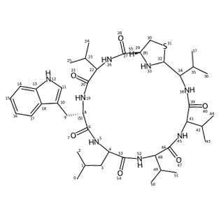 CC(C)CC1NC(=O)[C@H](Cc2c[nH]c3ccccc23)NC(=O)C(C(C)C)NC(=O)[C@@H]2CSC(N2)C(C(C)C)NC(=O)C(C(C)C)NC(=O)C(C(C)C)NC1=O